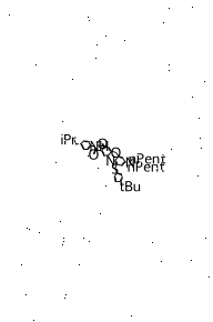 CCCCCN(CCCCC)c1cc(Sc2ccc(C(C)(C)C)cc2)c2nc3cc(C(=O)Nc4ccc(CC(C)C)cc4)c(=O)cc-3oc2c1